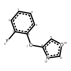 Fc1ccccc1Oc1cocn1